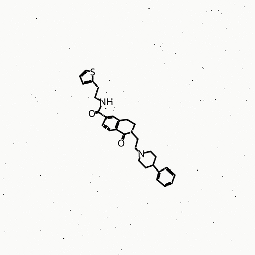 O=C(NCCc1cccs1)c1ccc2c(c1)CCC(CCN1CCC(c3ccccc3)CC1)C2=O